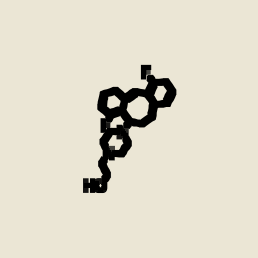 OCCN1CCN(C2C/C=C3/C=CCC(F)=C3/C=C3/CC=CC(F)=C32)CC1